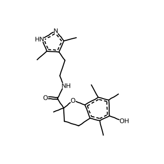 Cc1n[nH]c(C)c1CCNC(=O)C1(C)CCc2c(C)c(O)c(C)c(C)c2O1